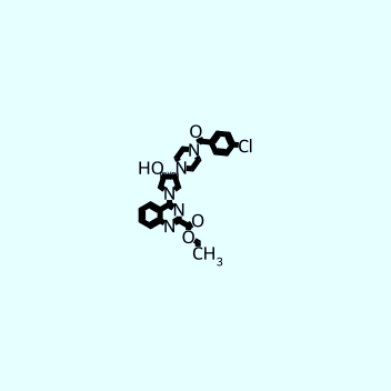 CCOC(=O)c1nc(N2C[C@@H](O)[C@H](N3CCN(C(=O)c4ccc(Cl)cc4)CC3)C2)c2ccccc2n1